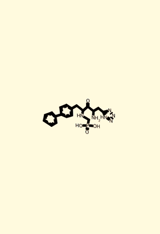 NC(Cc1nnn[nH]1)C(=O)C(Cc1ccc(-c2ccccc2)cc1)NCP(=O)(O)O